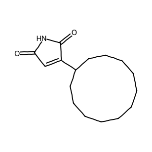 O=C1C=C(C2CCCCCCCCCCC2)C(=O)N1